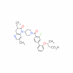 Cc1cnc2c(c1)N(C1CCN(C(=O)c3ccc(-c4ccccc4O[C@H](C)CC(=O)O)cc3F)CC1)C(=O)C(CC(F)(F)F)C2